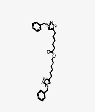 O=C(CCCCCc1cn(Cc2ccccc2)nn1)OCCCCCCc1cn(Cc2ccccc2)nn1